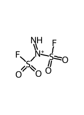 N=[N+](S(=O)(=O)F)S(=O)(=O)F